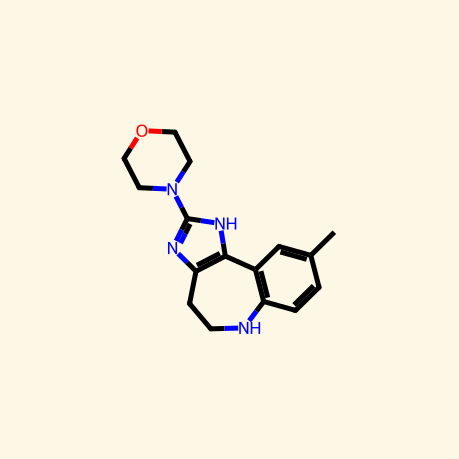 Cc1ccc2c(c1)-c1[nH]c(N3CCOCC3)nc1CCN2